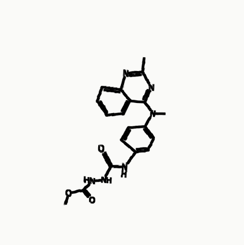 COC(=O)NNC(=O)Nc1ccc(N(C)c2nc(C)nc3ccccc23)cc1